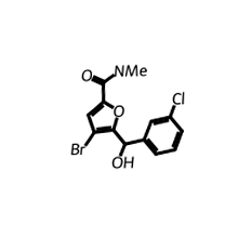 CNC(=O)c1cc(Br)c(C(O)c2cccc(Cl)c2)o1